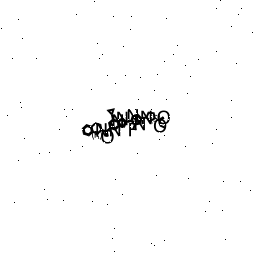 COC(=O)[C@H]1CCN(c2cnc(-c3cc4nc(C(=O)N5CCc6ccccc6[C@H]5C)cc(C5CC5)n4n3)c(F)n2)C1